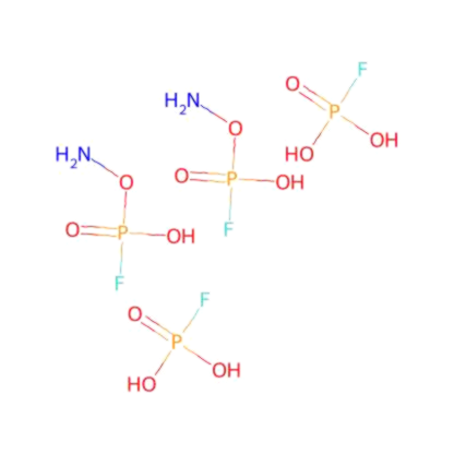 NOP(=O)(O)F.NOP(=O)(O)F.O=P(O)(O)F.O=P(O)(O)F